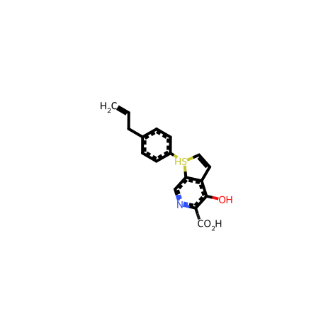 C=CCc1ccc([SH]2C=Cc3c2cnc(C(=O)O)c3O)cc1